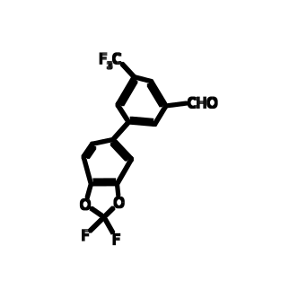 O=Cc1cc(-c2ccc3c(c2)OC(F)(F)O3)cc(C(F)(F)F)c1